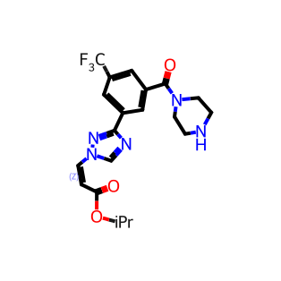 CC(C)OC(=O)/C=C\n1cnc(-c2cc(C(=O)N3CCNCC3)cc(C(F)(F)F)c2)n1